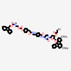 COc1ccc(C(OC[C@H]2O[C@@H](n3ccc(NC(=O)c4ccc(CNC(=O)Cc5ccc(OC(=O)OCCN(C)C(=O)OCC6c7ccccc7-c7ccccc76)cc5)cc4)nc3=O)CC2OC(=O)CCC(C)=O)(c2ccccc2)c2ccc(OC)cc2)cc1